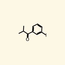 CC(C)C(=O)c1cccc(I)c1